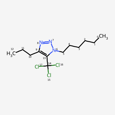 CCCCCCn1nnc(CCC)c1C(Cl)(Cl)Cl